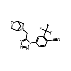 N#Cc1ccc(-n2nnnc2CN2CC3CC2CO3)cc1C(F)(F)F